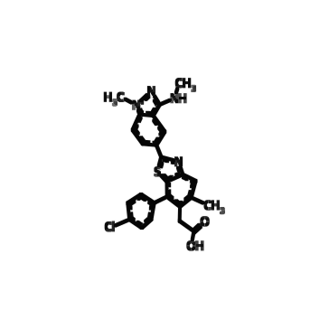 CNc1nn(C)c2ccc(-c3nc4cc(C)c(CC(=O)O)c(-c5ccc(Cl)cc5)c4s3)cc12